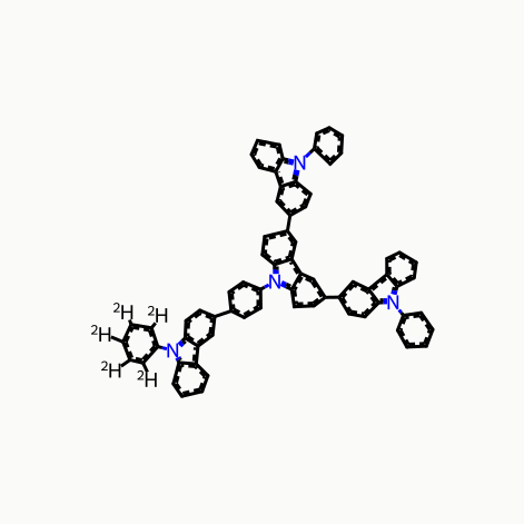 [2H]c1c([2H])c([2H])c(-n2c3ccccc3c3cc(-c4ccc(-n5c6ccc(-c7ccc8c(c7)c7ccccc7n8-c7ccccc7)cc6c6cc(-c7ccc8c(c7)c7ccccc7n8-c7ccccc7)ccc65)cc4)ccc32)c([2H])c1[2H]